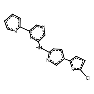 Clc1ccc(-c2ccc(Nc3cncc(-c4ccccn4)n3)nc2)s1